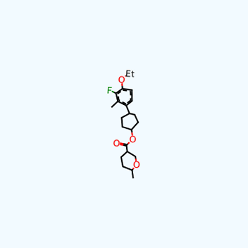 CCOc1ccc(C2CCC(OC(=O)C3CCC(C)OC3)CC2)c(C)c1F